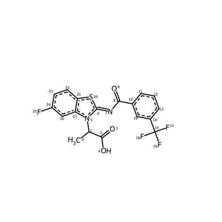 CC(C(=O)O)n1c(=NC(=O)c2cccc(C(F)(F)F)c2)sc2ccc(F)cc21